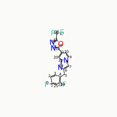 Fc1ccc(Cc2cn3ccc(-c4nnc(C(F)F)o4)cc3n2)c(F)c1